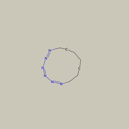 C1CCCN=NN=NN=NCCC1